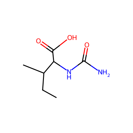 CCC(C)C(NC(N)=O)C(=O)O